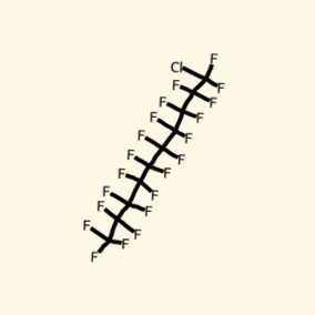 FC(F)(F)C(F)(F)C(F)(F)C(F)(F)C(F)(F)C(F)(F)C(F)(F)C(F)(F)C(F)(F)C(F)(F)Cl